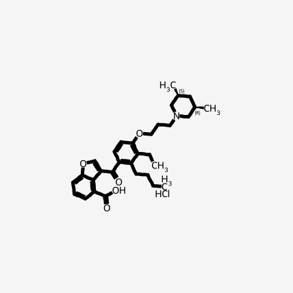 CCCCc1c(C(=O)c2coc3cccc(C(=O)O)c23)ccc(OCCCN2C[C@H](C)C[C@H](C)C2)c1CC.Cl